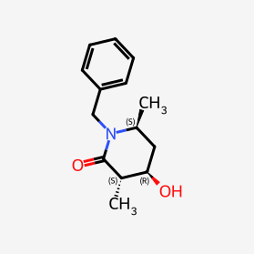 C[C@@H]1C(=O)N(Cc2ccccc2)[C@@H](C)C[C@H]1O